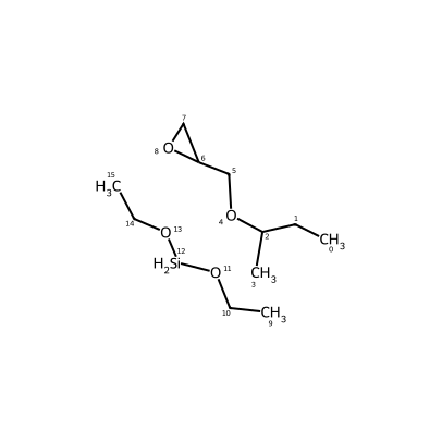 CCC(C)OCC1CO1.CCO[SiH2]OCC